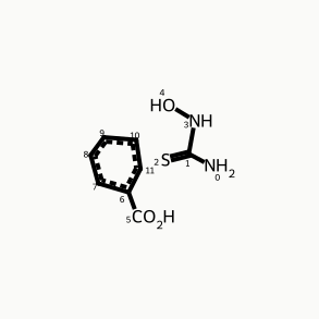 NC(=S)NO.O=C(O)c1ccccc1